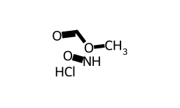 COC=O.Cl.N=O